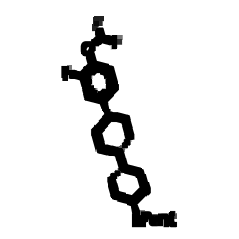 CCCCC[C@H]1CC[C@H]([C@H]2CC[C@H](c3ccc(OC(F)F)c(F)c3)CC2)CC1